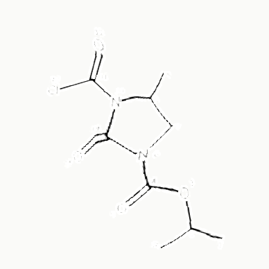 CC(C)OC(=O)N1CC(C)N(C(=O)Cl)C1=O